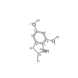 COc1cc2c(c(OC)c1)NC(C)C2